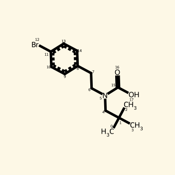 CC(C)(C)CN(CCc1ccc(Br)cc1)C(=O)O